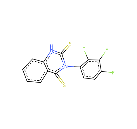 Fc1ccc(-n2c(=S)[nH]c3ccccc3c2=S)c(F)c1F